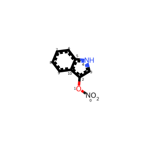 O=[N+]([O-])Oc1c[nH]c2ccccc12